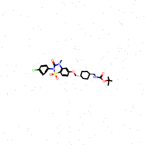 CN1C(=O)N(c2ccc(Cl)cc2)S(=O)(=O)c2ccc(OC[C@H]3CC[C@H](CNC(=O)OC(C)(C)C)CC3)cc21